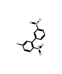 O=[N+]([O-])c1cccc(-c2cc(F)ccc2[SH](=O)=O)c1